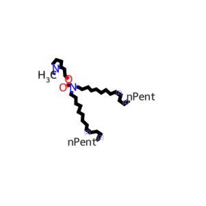 CCCCC/C=C\C/C=C\CCCCCCCCN(CCCCCCCC/C=C\C/C=C\CCCCC)C(=O)OCCC1CCCN1C